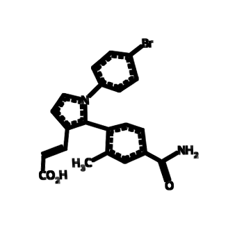 Cc1cc(C(N)=O)ccc1-c1c(/C=C/C(=O)O)ccn1-c1ccc(Br)cc1